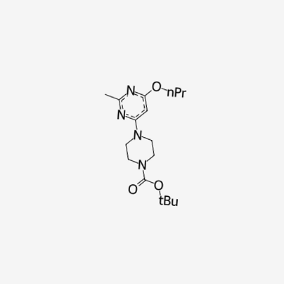 CCCOc1cc(N2CCN(C(=O)OC(C)(C)C)CC2)nc(C)n1